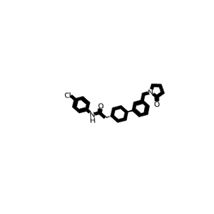 O=C(C[C@H]1CC[C@H](c2cccc(CN3CCCC3=O)c2)CC1)Nc1ccc(Cl)cc1